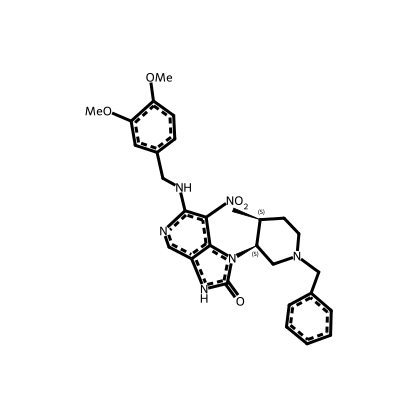 COc1ccc(CNc2ncc3[nH]c(=O)n([C@@H]4CN(Cc5ccccc5)CC[C@@H]4C)c3c2[N+](=O)[O-])cc1OC